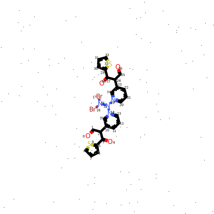 O=CC(C(=O)c1cccs1)c1ccc[n+](N(N(Br)Br)[n+]2cccc(C(C=O)C(=O)c3cccs3)c2)c1